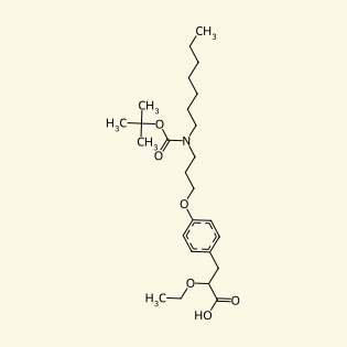 CCCCCCCN(CCCOc1ccc(CC(OCC)C(=O)O)cc1)C(=O)OC(C)(C)C